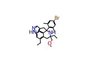 CCc1cccc2c1CC(CC)(COC)NC2(Cc1cn[nH]c1)c1c(C)cc(Br)cc1C